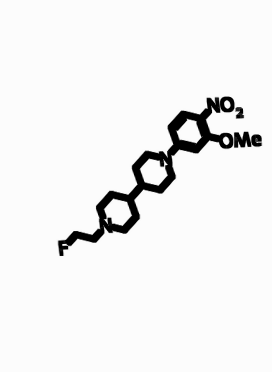 COc1cc(N2CCC(C3CCN(CCF)CC3)CC2)ccc1[N+](=O)[O-]